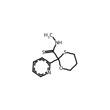 CNC(=S)C1(c2ccccn2)OCCCS1